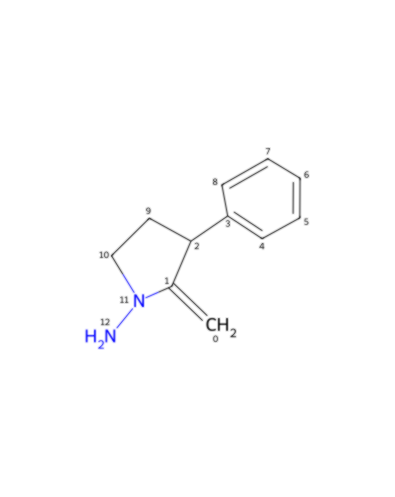 C=C1C(c2ccccc2)CCN1N